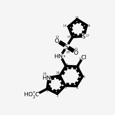 O=C(O)c1cc2ccc(Cl)c(NS(=O)(=O)c3cccs3)c2[nH]1